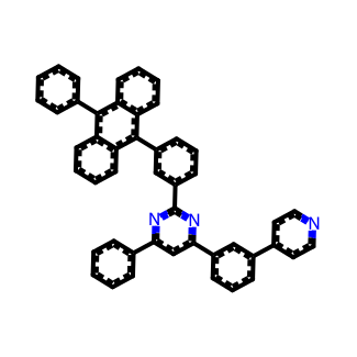 c1ccc(-c2cc(-c3cccc(-c4ccncc4)c3)nc(-c3cccc(-c4c5ccccc5c(-c5ccccc5)c5ccccc45)c3)n2)cc1